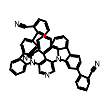 N#Cc1ccccc1-c1ccc2c3ccccc3n(-c3cncc(-n4c5ccccc5c5ccc(-c6ccccc6C#N)cc54)c3-c3ccccc3C#N)c2c1